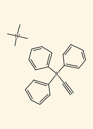 C#C[B-](c1ccccc1)(c1ccccc1)c1ccccc1.C[N+](C)(C)C